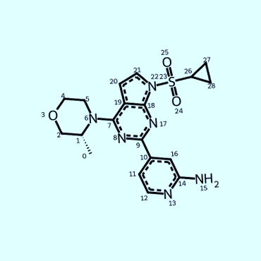 C[C@@H]1COCCN1c1nc(-c2ccnc(N)c2)nc2c1ccn2S(=O)(=O)C1CC1